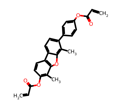 C=CC(=O)Oc1ccc(-c2ccc3c(oc4c(C)c(OC(=O)C=C)ccc43)c2C)cc1